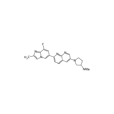 CNC1CCN(c2cnc3nc(-c4cc(F)c5nc(C)cn5c4)ccc3c2)C1